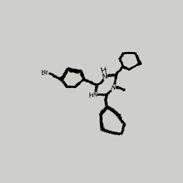 CN1C(C2CCCCC2)NC(C2C=CC(Br)CC2)NC1C1CCCCC1